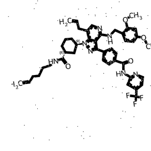 C=CCCCCNC(=O)[C@@H]1CCC[C@@H](n2nc(-c3ccc(C(=O)Nc4cc(C(F)(F)F)ccn4)cc3)c3c(NCc4ccc(OC)cc4OC)ncc(CC=C)c32)C1